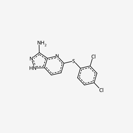 Nc1n[nH]c2ccc(Sc3ccc(Cl)cc3Cl)nc12